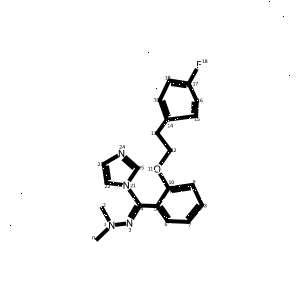 CN(C)N=C(c1ccccc1OCCc1ccc(F)cc1)n1ccnc1